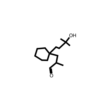 CC(C=O)CC1(CCC(C)(C)O)CCCCC1